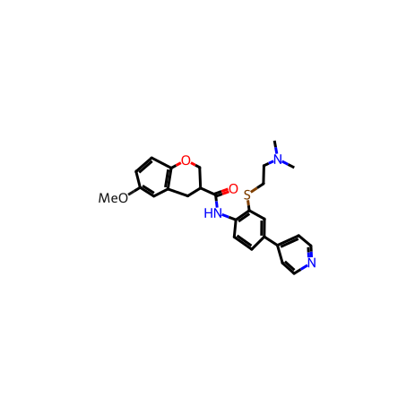 COc1ccc2c(c1)CC(C(=O)Nc1ccc(-c3ccncc3)cc1SCCN(C)C)CO2